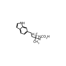 CC(C)(CCc1ccc2cc[nH]c2c1)NC(=O)O